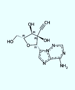 C#C[C@@]1(O)[C@H](O)[C@@H](CO)O[C@H]1c1cnc2c(N)ncnn12